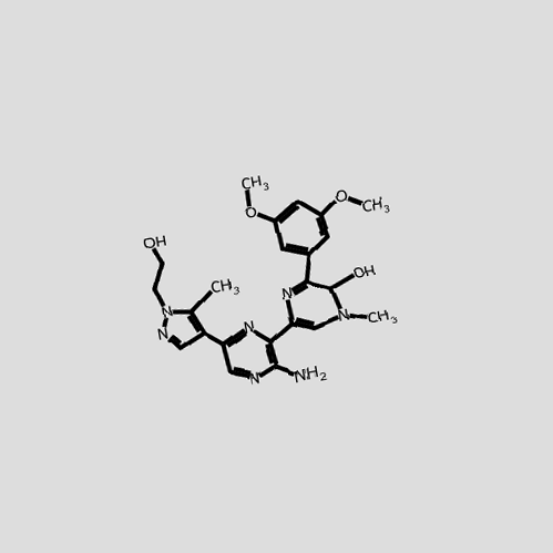 COc1cc(OC)cc(C2=NC(c3nc(-c4cnn(CCO)c4C)cnc3N)=CN(C)C2O)c1